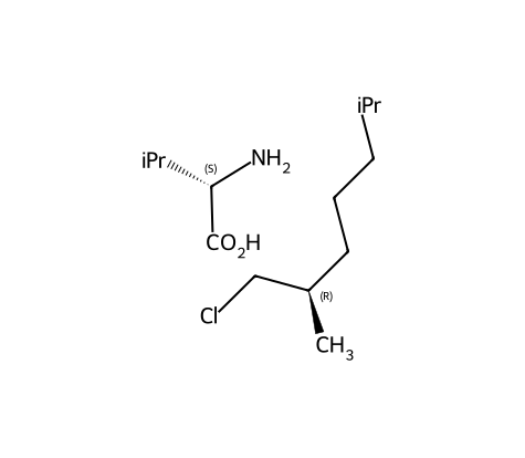 CC(C)CCC[C@@H](C)CCl.CC(C)[C@H](N)C(=O)O